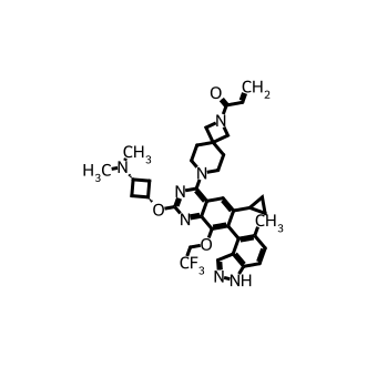 C=CC(=O)N1CC2(CCN(c3nc(O[C@H]4C[C@@H](N(C)C)C4)nc4c(OCC(F)(F)F)c(-c5c(C)ccc6[nH]ncc56)c(C5CC5)cc34)CC2)C1